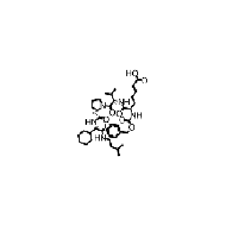 CC(C)CCNC(=O)[C@@H](NC(=O)[C@@H]1CCCN1C(=O)[C@@H](NC(=O)C(CCC=CC(=O)O)NC(=O)OCc1ccccc1)C(C)C)C1CCCCC1